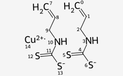 C=CCNC(=S)[S-].C=CCNC(=S)[S-].[Cu+2]